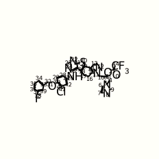 O=C(O[C@H](Cn1ccnc1)Cn1ncc2c1CCc1c-2sc2ncnc(Nc3ccc(OCc4cccc(F)c4)c(Cl)c3)c12)C(F)(F)F